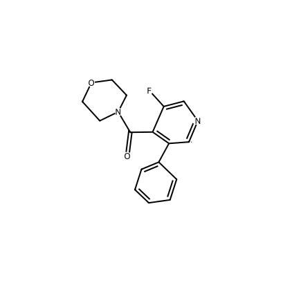 O=C(c1c(-c2ccccc2)[c]ncc1F)N1CCOCC1